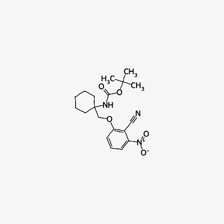 CC(C)(C)OC(=O)NC1(COc2cccc([N+](=O)[O-])c2C#N)CCCCC1